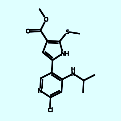 COC(=O)c1cc(-c2cnc(Cl)cc2NC(C)C)[nH]c1SC